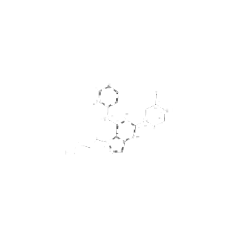 CCOCCn1ncc2nc(N3C[C@@H](C)N[C@H](C)C3)nc(Nc3ccccn3)c21